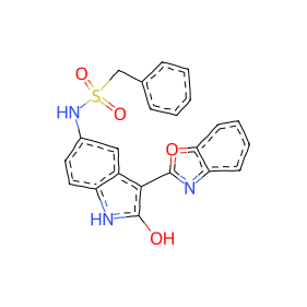 O=S(=O)(Cc1ccccc1)Nc1ccc2[nH]c(O)c(-c3nc4ccccc4o3)c2c1